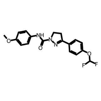 COc1ccc(NC(=O)N2CCC(c3ccc(OC(F)F)cc3)=N2)cc1